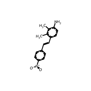 Cc1c(N)ccc(C=Cc2ccc([N+](=O)[O-])cc2)c1C